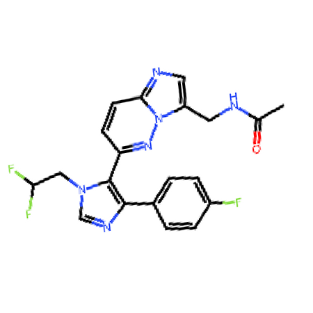 CC(=O)NCc1cnc2ccc(-c3c(-c4ccc(F)cc4)ncn3CC(F)F)nn12